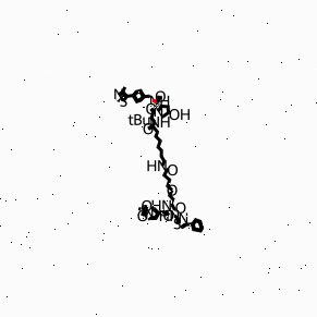 Cc1ncsc1-c1ccc(CNC(=O)[C@@H]2C[C@@H](O)CN2C(=O)[C@@H](NC(=O)CCCCCCCNC(=O)CCCOCC[C@H](NC(=O)c2ccn(S(C)(=O)=O)c2)C(=O)Nc2nc(-c3ccccc3)cs2)C(C)(C)C)cc1